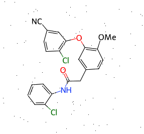 COc1ccc(CC(=O)Nc2ccccc2Cl)cc1Oc1cc(C#N)ccc1Cl